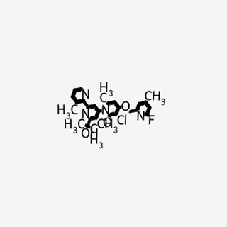 Cc1cc(F)nc(COc2cc(C)n(-c3cc(-c4ncccc4C)nc(C(C)(C)O)c3C)c(=O)c2Cl)c1